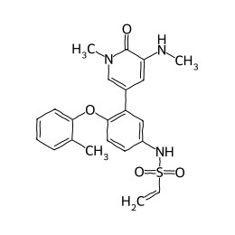 C=CS(=O)(=O)Nc1ccc(Oc2ccccc2C)c(-c2cc(NC)c(=O)n(C)c2)c1